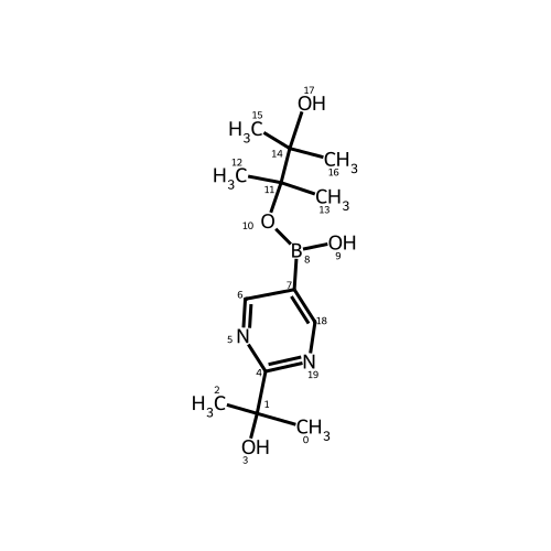 CC(C)(O)c1ncc(B(O)OC(C)(C)C(C)(C)O)cn1